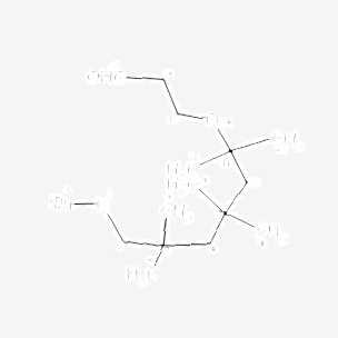 CCC(C)OCC(C)(C)CC(C)(C)CC(C)(C)OCCC=O